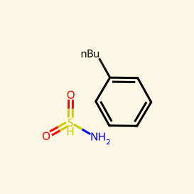 CCCCc1ccccc1.N[SH](=O)=O